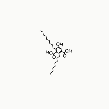 CCCCCCCCCc1c(O)cc(C(=O)O)c(CCCCCCCCC)c1C(=O)O